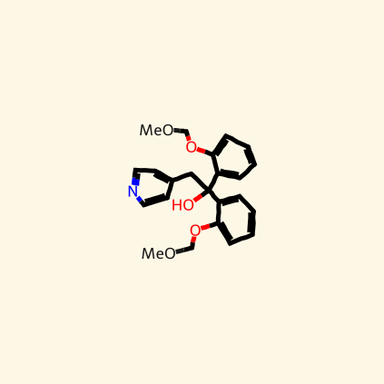 COCOc1ccccc1C(O)(Cc1ccncc1)c1ccccc1OCOC